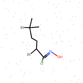 CCC(CCC(C)(C)CC)/C(Cl)=N/O